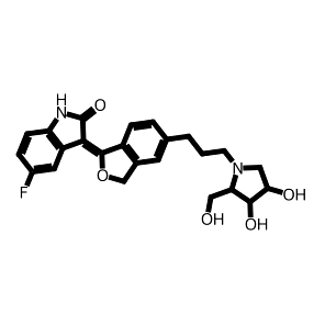 O=C1Nc2ccc(F)cc2C1=C1OCc2cc(CCCN3CC(O)C(O)C3CO)ccc21